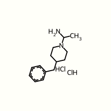 CC(N)N1CCC(Cc2ccccc2)CC1.Cl.Cl